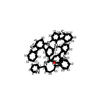 C1=C(c2ccccn2)/N=C(c2cc3c4c(c2)N(c2cccc5sc6ccccc6c25)c2c(ccc5sc6ccccc6c25)B4c2ccc4sc5ccccc5c4c2-3)\N=C(\c2ccccc2)CC\1